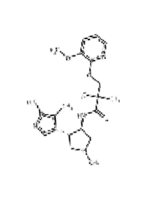 Cc1c([C@H]2CN(C)C[C@@H]2NC(=O)C(C)(C)COc2ncccc2OC(F)(F)F)cnn1C